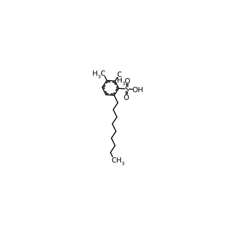 CCCCCCCCCc1ccc(C)c(C)c1S(=O)(=O)O